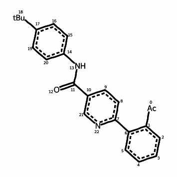 CC(=O)c1ccccc1-c1ccc(C(=O)Nc2ccc(C(C)(C)C)cc2)cn1